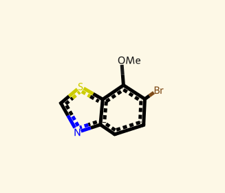 COc1c(Br)ccc2ncsc12